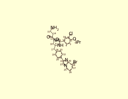 CC(C)Oc1ccc(C(=O)NC(CNC(=O)CCN)Cc2ccc(-c3cn4cccc(Br)c4n3)cc2)cc1Cl